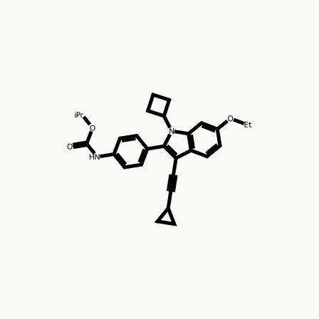 CCOc1ccc2c(C#CC3CC3)c(-c3ccc(NC(=O)OC(C)C)cc3)n(C3CCC3)c2c1